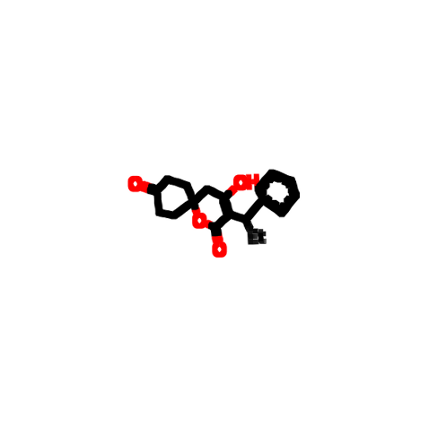 CCC(C1=C(O)CC2(CCC(=O)CC2)OC1=O)c1ccccc1